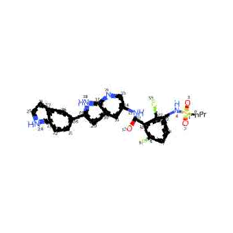 CCCS(=O)(=O)Nc1ccc(F)c(C(=O)Nc2cnc3[nH]c(-c4ccc5[nH]ccc5c4)cc3c2)c1F